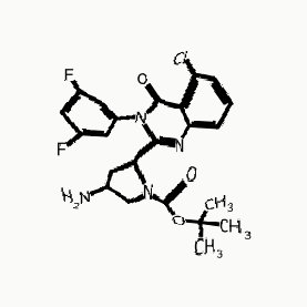 CC(C)(C)OC(=O)N1CC(N)CC1c1nc2cccc(Cl)c2c(=O)n1-c1cc(F)cc(F)c1